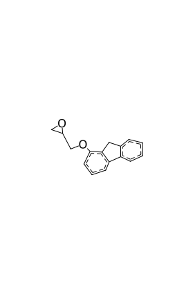 c1ccc2c(c1)Cc1c(OCC3CO3)cccc1-2